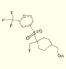 O=S(=O)(c1cccc(C(F)(F)F)c1)C1(CF)CCC(CO)CC1